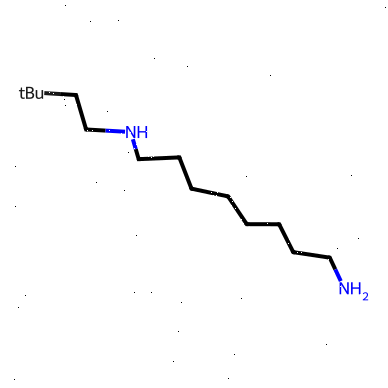 CC(C)(C)CCNCCCCCCCCN